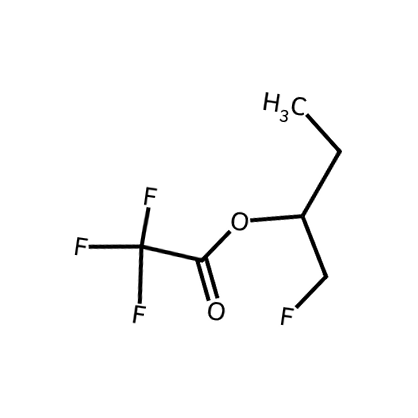 CCC(CF)OC(=O)C(F)(F)F